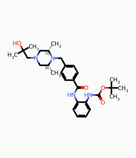 C[C@@H]1CN(CC(C)(C)O)C[C@H](C)N1Cc1ccc(C(=O)Nc2ccccc2NC(=O)OC(C)(C)C)cc1